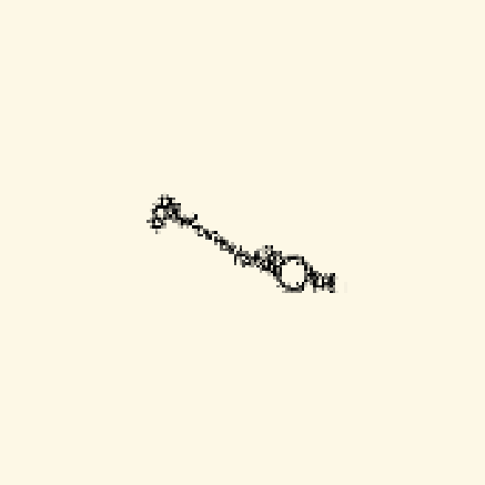 O=C(CCOCCOCCOCCOCCNC(=S)Nc1cc(CN2CCOCCOCCN(Cc3cccc(C(=O)O)n3)CCOCCOCC2)nc(C(=O)O)c1)NCCC(=O)N1Cc2ccccc2C#Cc2ccccc21